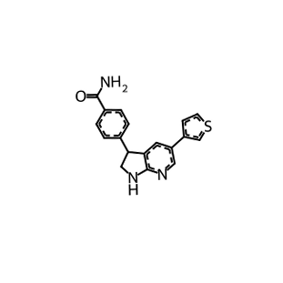 NC(=O)c1ccc(C2CNc3ncc(-c4ccsc4)cc32)cc1